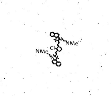 CNCCCN1/C(=C/C=C2\CCCC(/C=C/C3(C)N(CCCNC)c4ccc5ccccc5c4C3(C)C)=C2Cl)C(C)(C)c2c1ccc1ccccc21